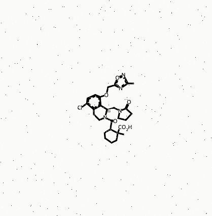 Cc1noc(COc2ccc(Cl)c3c2[C@@H](CN2CCCC2=O)N(C(=O)C2CCCCC2(C)C(=O)O)CC3)n1